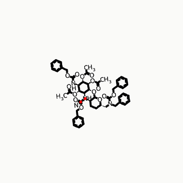 CC(=O)O[C@@H]1[C@@H](NC(=O)OCc2ccccc2)[C@H](OC(C)=O)[C@@H](OC(C)=O)[C@H](OC2O[C@H](CN(Cc3ccccc3)C(=O)OCc3ccccc3)CC[C@H]2N=[N+]=[N-])[C@H]1NC(=O)OCc1ccccc1